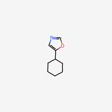 [c]1ncc(C2CCCCC2)o1